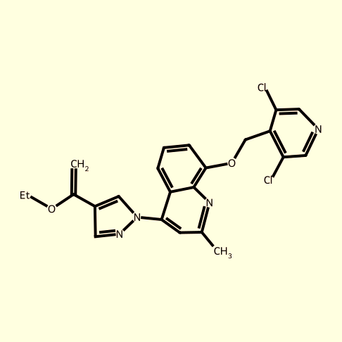 C=C(OCC)c1cnn(-c2cc(C)nc3c(OCc4c(Cl)cncc4Cl)cccc23)c1